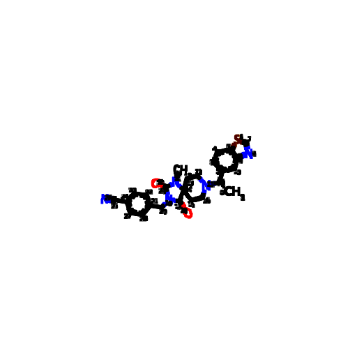 C[C@@H](c1ccc2scnc2c1)N1CCC2(CC1)C(=O)N(Cc1ccc(C#N)cc1)C(=O)N2C